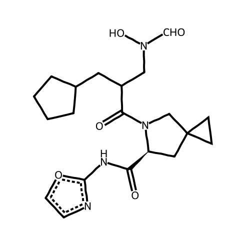 O=CN(O)CC(CC1CCCC1)C(=O)N1CC2(CC2)C[C@H]1C(=O)Nc1ncco1